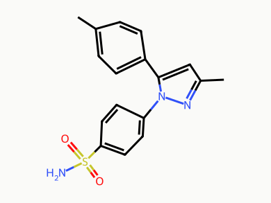 Cc1ccc(-c2cc(C)nn2-c2ccc(S(N)(=O)=O)cc2)cc1